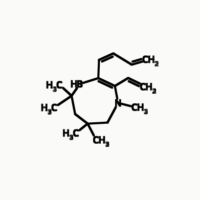 C=C/C=C\C1=C(/C=C)N(C)CC(C)(C)CC(C)(C)B1